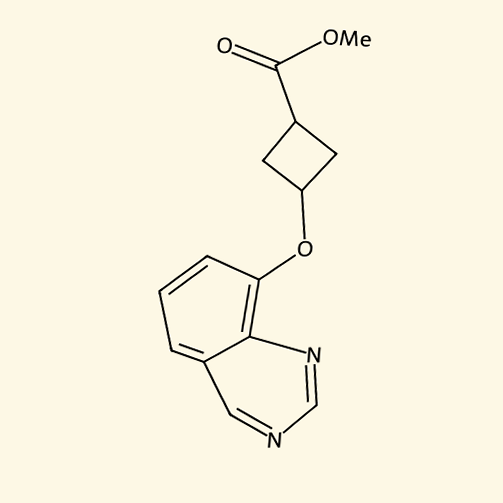 COC(=O)C1CC(Oc2cccc3cncnc23)C1